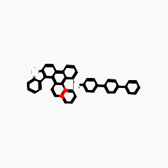 c1ccc(-c2ccc(-c3ccc(N(c4ccccc4)c4cccc5c6ccc7oc8ccccc8c7c6c6ccccc6c45)cc3)cc2)cc1